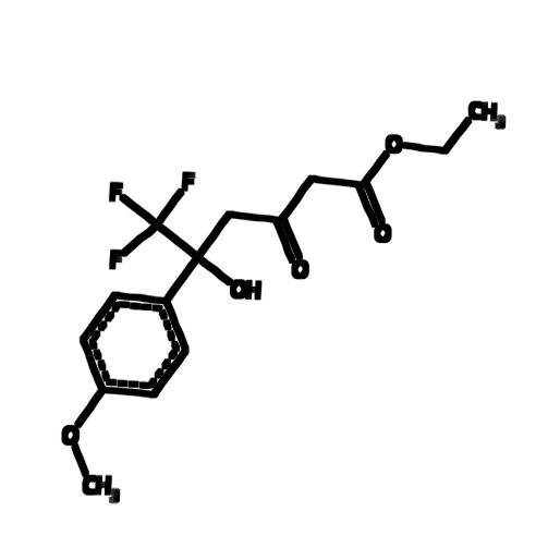 CCOC(=O)CC(=O)CC(O)(c1ccc(OC)cc1)C(F)(F)F